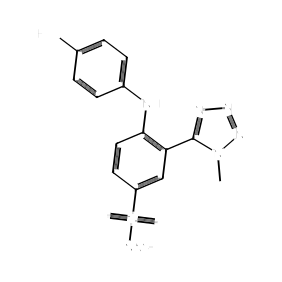 CNS(=O)(=O)c1ccc(Nc2ccc(C(F)(F)F)cc2)c(-c2nnnn2C)c1